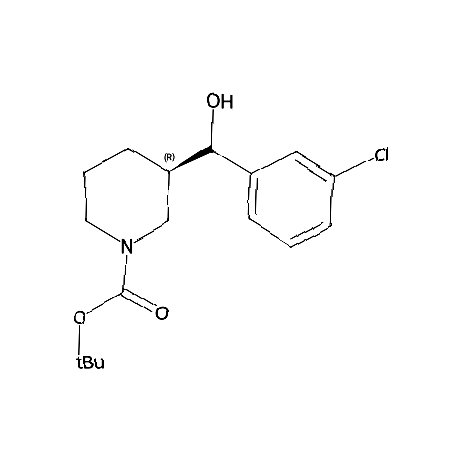 CC(C)(C)OC(=O)N1CCC[C@@H](C(O)c2cccc(Cl)c2)C1